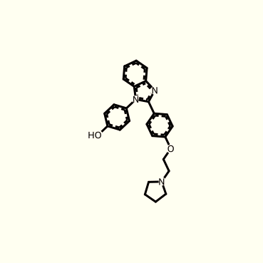 Oc1ccc(-n2c(-c3ccc(OCCN4CCCC4)cc3)nc3ccccc32)cc1